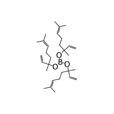 C=CC(C)(CCC=C(C)C)OB(OC(C)(C=C)CCC=C(C)C)OC(C)(C=C)CCC=C(C)C